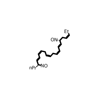 CC/C=C\C[C@H](/C=C/C=C\C/C=C\C/C=C\C=C\[C@H](CCC)N=O)N=O